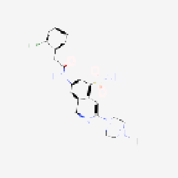 CN1CCN(c2cc3c(S(N)(=O)=O)cc(NC(=O)Cc4ccccc4Cl)cc3cn2)CC1